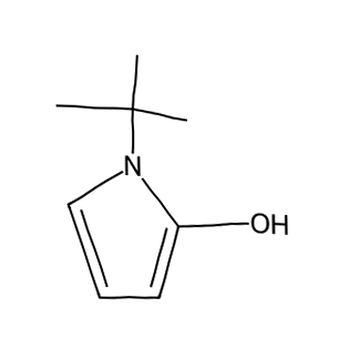 CC(C)(C)n1cccc1O